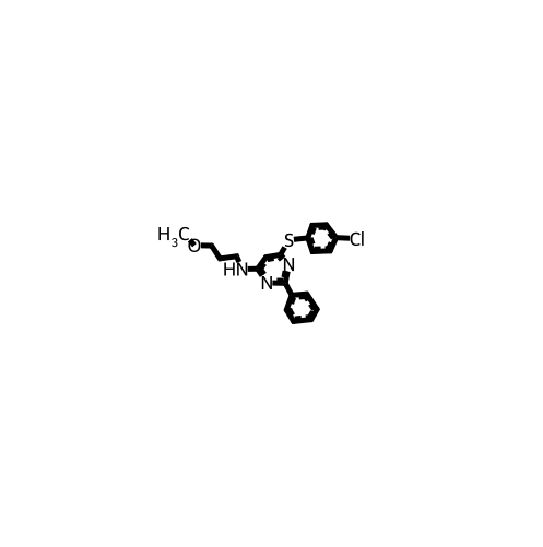 COCCCNc1cc(Sc2ccc(Cl)cc2)nc(-c2ccccc2)n1